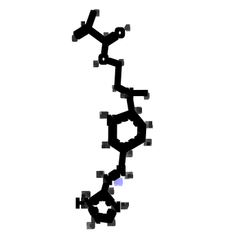 C=C(C)C(=O)OCCN(C)c1ccc(/N=N/c2ncn[nH]2)cn1